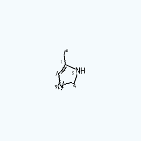 CC1=C[N]CN1